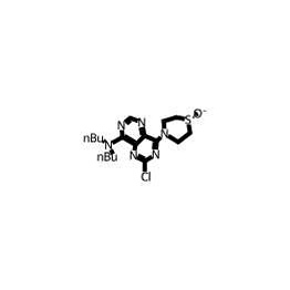 CCCCN(CCCC)c1ncnc2c(N3CC[S+]([O-])CC3)nc(Cl)nc12